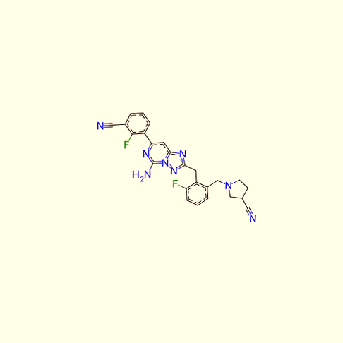 N#Cc1cccc(-c2cc3nc(Cc4c(F)cccc4CN4CCC(C#N)C4)nn3c(N)n2)c1F